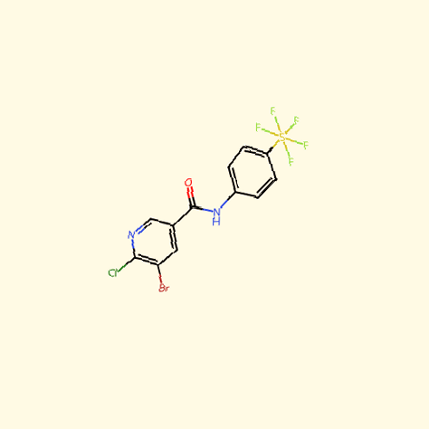 O=C(Nc1ccc(S(F)(F)(F)(F)F)cc1)c1cnc(Cl)c(Br)c1